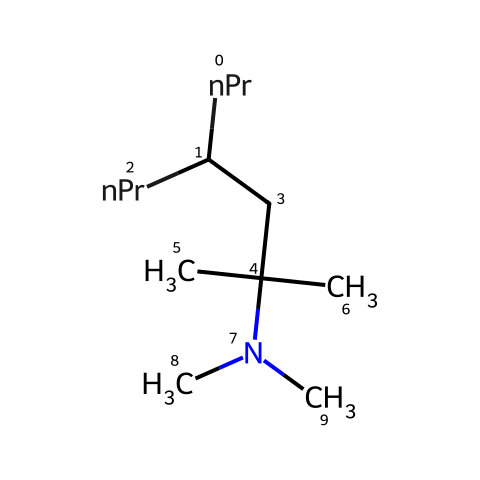 CCCC(CCC)CC(C)(C)N(C)C